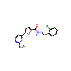 CNc1nccc(-c2ccc(C(=O)NCCc3ccccc3F)s2)n1